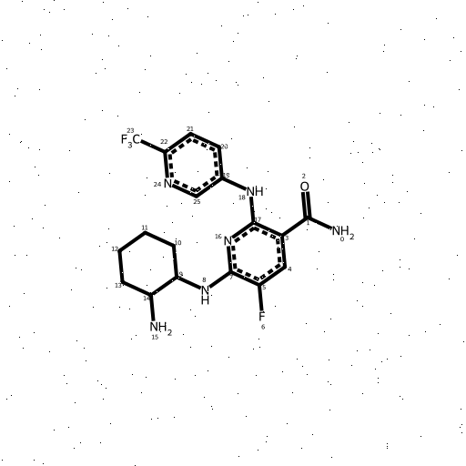 NC(=O)c1cc(F)c(NC2CCCCC2N)nc1Nc1ccc(C(F)(F)F)nc1